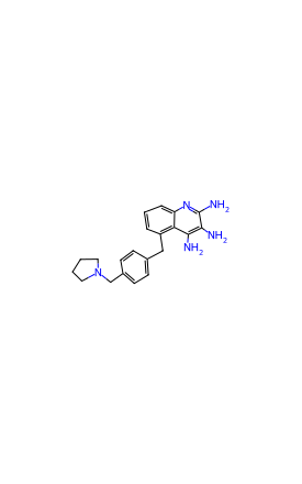 Nc1nc2cccc(Cc3ccc(CN4CCCC4)cc3)c2c(N)c1N